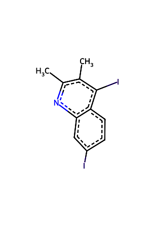 Cc1nc2cc(I)ccc2c(I)c1C